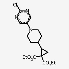 CCOC(=O)C1(C(=O)OCC)CC1C1CCN(c2cnc(Cl)nc2)CC1